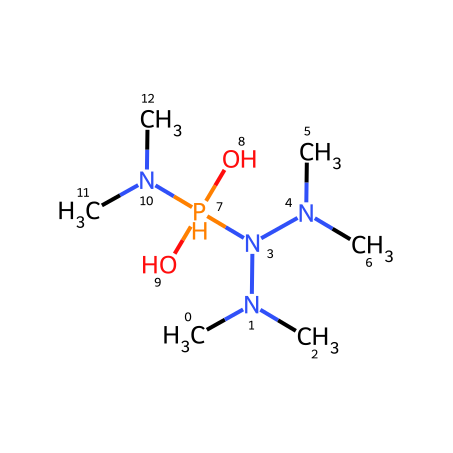 CN(C)N(N(C)C)[PH](O)(O)N(C)C